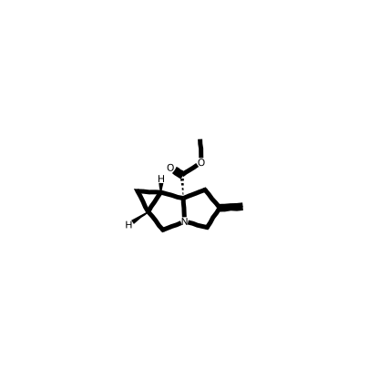 C=C1CN2C[C@@H]3C[C@@H]3[C@@]2(C(=O)OC)C1